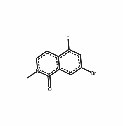 Cn1ccc2c(F)cc(Br)cc2c1=O